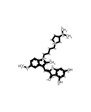 COc1ccc2c(c1)c(/C=C1\Oc3cc(O)cc(O)c3C1=O)c(C)n2CCCCN1CCC(N(C)C)C1